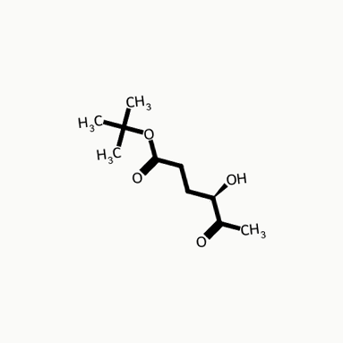 CC(=O)[C@H](O)CCC(=O)OC(C)(C)C